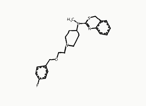 CN(C1=Nc2ccccc2CS1)C1CCN(CCOCc2ccc(F)cc2)CC1